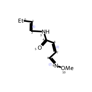 CC/C=C/NC(=O)/C=C\C=N/OC